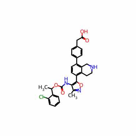 Cc1noc(-c2ccc(-c3ccc(CC(=O)O)cc3)c3c2CCNC3)c1NC(=O)OC(C)c1ccccc1Cl